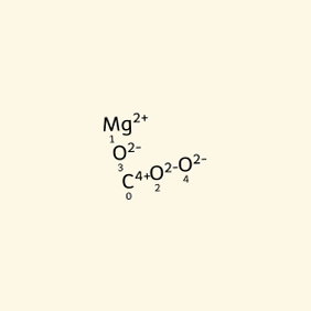 [C+4].[Mg+2].[O-2].[O-2].[O-2]